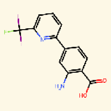 Nc1cc(-c2cccc(C(F)(I)I)n2)ccc1C(=O)O